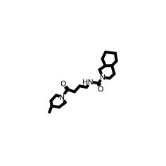 CC1CCN(C(=O)CCCNC(=O)N2CCC3CCCCC3C2)CC1